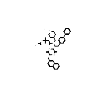 CC(C)(CC(=O)N(CC1CCN(C(=O)O)CC1)C(Cc1ccc(-c2ccccc2)cc1)[C@@H]1NC(=O)[C@H](Cc2ccc3ccccc3c2)NC1=O)NC(=O)OC(C)(C)C